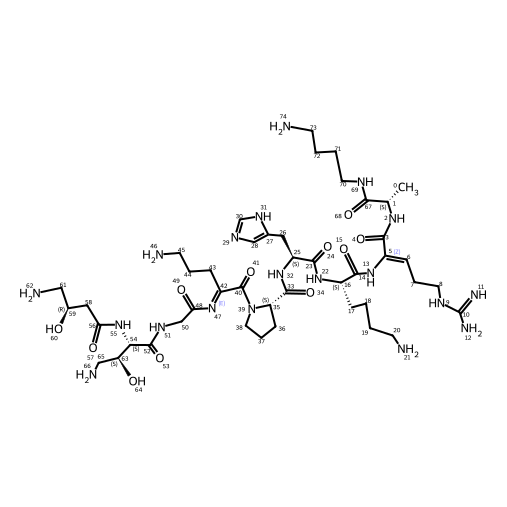 C[C@H](NC(=O)/C(=C/CCNC(=N)N)NC(=O)[C@H](CCCCN)NC(=O)[C@H](Cc1cnc[nH]1)NC(=O)[C@@H]1CCCN1C(=O)/C(CCCN)=N/C(=O)CNC(=O)[C@@H](NC(=O)C[C@@H](O)CN)[C@@H](O)CN)C(=O)NCCCCN